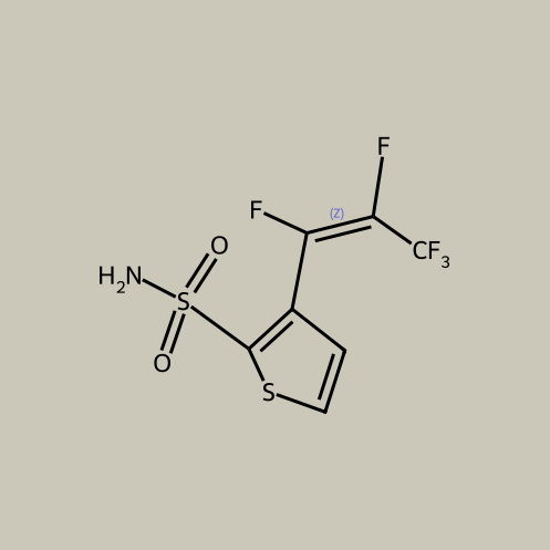 NS(=O)(=O)c1sccc1/C(F)=C(/F)C(F)(F)F